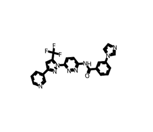 O=C(Nc1ccc(-n2nc(-c3cccnc3)cc2C(F)(F)F)nn1)c1cccc(-n2ccnc2)c1